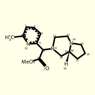 COC(=O)C(c1cccc(C)n1)N1CCN2CCC[C@@H]2C1